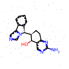 Nc1ncc2c(n1)CC[C@H]([C@@H]1c3ccccc3-c3cncn31)[C@@H]2O